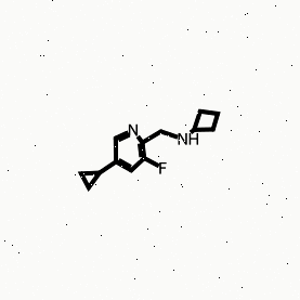 Fc1cc(C2CC2)cnc1CNC1CCC1